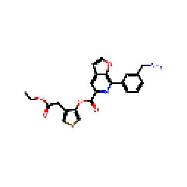 CCOC(=O)Cc1cscc1OC(=O)c1cc2ccoc2c(-c2cccc(CN)c2)n1